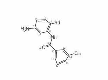 Nc1ccc(Cl)c(NC(=O)c2cccc(Cl)c2)c1